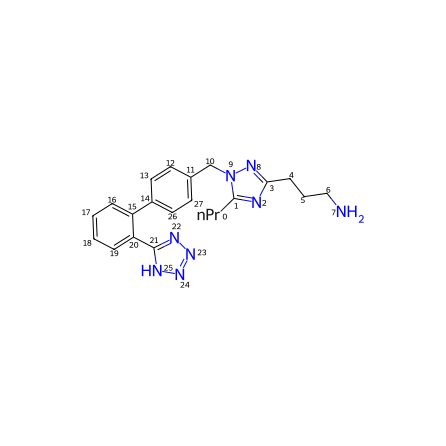 CCCc1nc(CCCN)nn1Cc1ccc(-c2ccccc2-c2nnn[nH]2)cc1